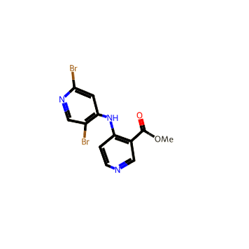 COC(=O)c1cnccc1Nc1cc(Br)ncc1Br